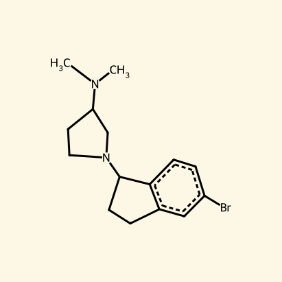 CN(C)C1CCN(C2CCc3cc(Br)ccc32)C1